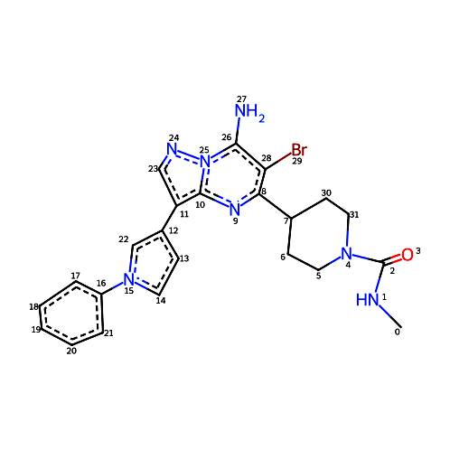 CNC(=O)N1CCC(c2nc3c(-c4ccn(-c5ccccc5)c4)cnn3c(N)c2Br)CC1